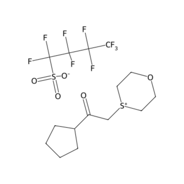 O=C(C[S+]1CCOCC1)C1CCCC1.O=S(=O)([O-])C(F)(F)C(F)(F)C(F)(F)C(F)(F)F